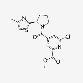 COC(=O)c1cc(C(=O)N2CCC[C@@H]2c2nc(C)cs2)cc(Cl)n1